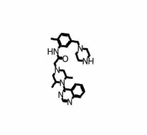 Cc1ccc(CN2CCNCC2)cc1NC(=O)CN1CC(C)N(c2ncnc3ccccc23)C(C)C1